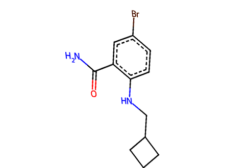 NC(=O)c1cc(Br)ccc1NCC1CCC1